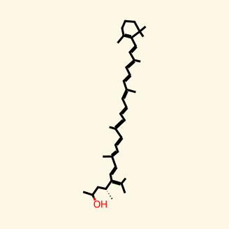 CC(C)=C(/C=C/C(C)=C/C=C/C(C)=C/C=C/C=C(C)/C=C/C=C(C)/C=C/C1=C(C)CCCC1(C)C)[C@H](C)CC(C)O